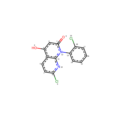 O=c1cc(O)c2ccc(Cl)nc2n1-c1ccccc1Cl